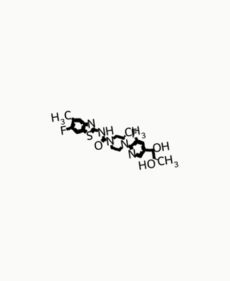 Cc1cc2nc(NC(=O)N3CCN(c4ncc([C@H](O)[C@H](C)O)cc4F)[C@H](C)C3)sc2cc1F